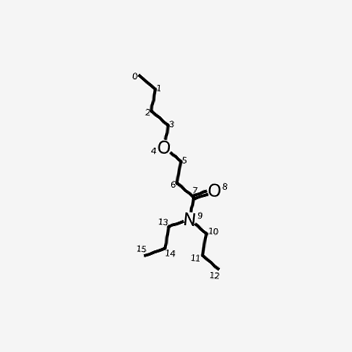 CCCCOCCC(=O)N(CCC)CCC